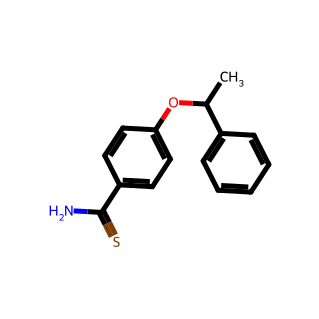 CC(Oc1ccc(C(N)=S)cc1)c1ccccc1